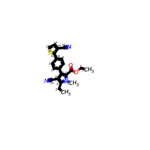 CCOC(=O)c1c(-c2ccc(-c3sccc3C#N)cc2)c(C#N)c(CC)n1C